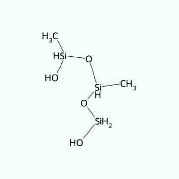 C[SiH](O)O[SiH](C)O[SiH2]O